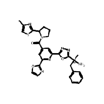 Cc1csc(C2CCCN2C(=O)c2cc(-c3ncco3)nc(-c3nnc([C@](C)(N)Cc4ccccc4)o3)c2)n1